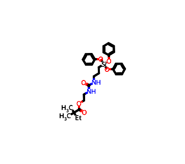 CCC(C)(C)C(=O)OCCNC(=O)NCCC[Si](Oc1ccccc1)(Oc1ccccc1)Oc1ccccc1